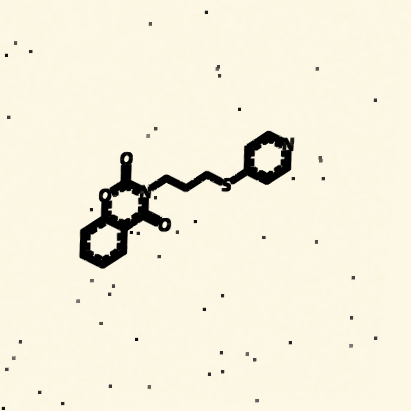 O=c1oc2ccccc2c(=O)n1CCCSc1ccncc1